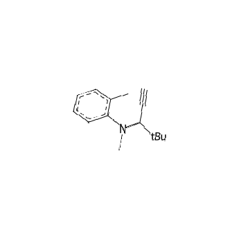 C#CC(N(C)c1ccccc1C)C(C)(C)C